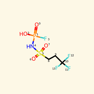 O=P(O)(F)NS(=O)(=O)CCC(F)(F)F